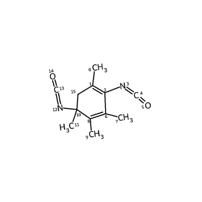 CC1=C(N=C=O)C(C)=C(C)C(C)(N=C=O)C1